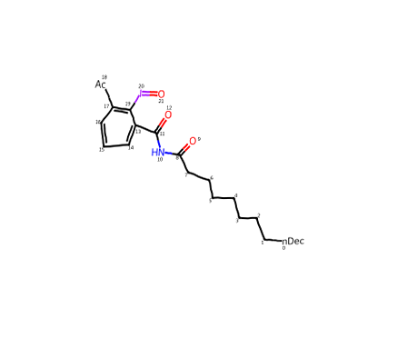 CCCCCCCCCCCCCCCCCC(=O)NC(=O)c1cccc(C(C)=O)c1I=O